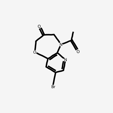 CC(=O)N1CC(=O)COc2cc(Br)cnc21